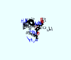 CCOc1ccc(-c2ccc(C(=O)N[C@@H](CCCN)C(C)(C)C)cc2C(=O)O)c(C(=O)Nc2ccc(C(=N)N)cc2)n1.CS(=O)(=O)O.CS(=O)(=O)O